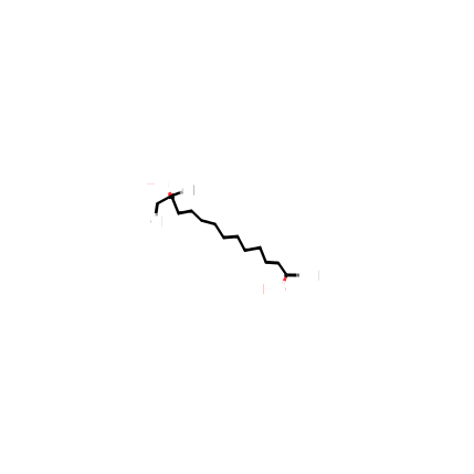 CCC(C)(O)CCCCCCCCCCC(C)O